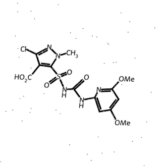 COc1cc(NC(=O)NS(=O)(=O)c2c(C(=O)O)c(Cl)nn2C)nc(OC)c1